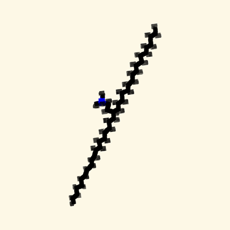 CCCCCCCCCCCCCCCCCCCC(CCCCCCCCCCCCCCCCCC)CCN(C)C